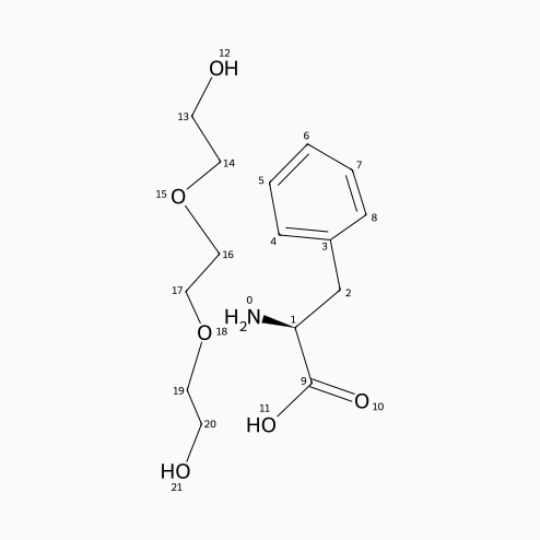 N[C@@H](Cc1ccccc1)C(=O)O.OCCOCCOCCO